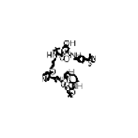 Cc1ncsc1-c1ccc(CNC(=O)[C@@H]2C[C@@H](O)CN2C(=O)[C@@H](NCCCCOc2ccncc2C2CN(C(=O)[C@@H]3CC[C@@H]4CCC[C@H](NC(=O)OC(C)(C)C)C(=O)N43)C2)C(C)(C)C)cc1